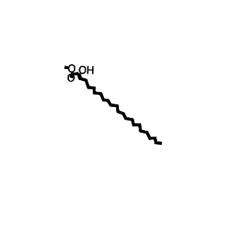 CCCCCCCCCCCCCCCCCCCCCC=C(O)C(=O)OC